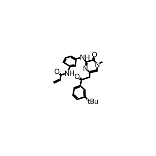 C=CC(=O)Nc1cccc(Nc2nc(CC(=O)c3cccc(C(C)(C)C)c3)cn(C)c2=O)c1